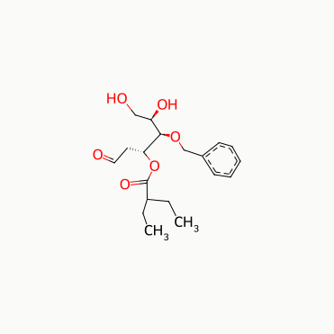 CCC(CC)C(=O)O[C@H](CC=O)[C@H](OCc1ccccc1)[C@H](O)CO